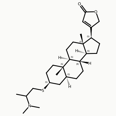 CC(CS[C@H]1CC[C@@]2(C)[C@@H](CC[C@@H]3[C@@H]2CC[C@]2(C)[C@@H](C4=CC(=O)OC4)CC[C@@H]32)C1)N(C)C